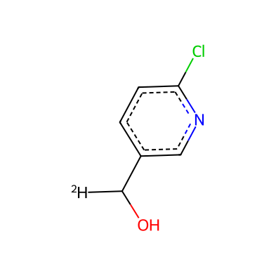 [2H]C(O)c1ccc(Cl)nc1